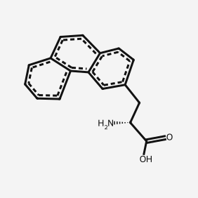 N[C@H](Cc1ccc2ccc3ccccc3c2c1)C(=O)O